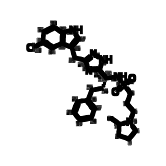 CC1CCCN1CCCS(=O)(=O)N[C@H](CCc1ccccc1)c1nc(Cc2c[nH]c3ccc(Cl)cc23)n[nH]1